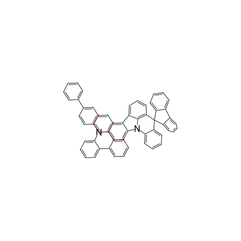 c1ccc(-c2ccc(N(c3ccc4c(c3)c3cccc5c3n4-c3ccccc3C53c4ccccc4-c4ccccc43)c3ccccc3-c3ccccc3-c3ccccc3)cc2)cc1